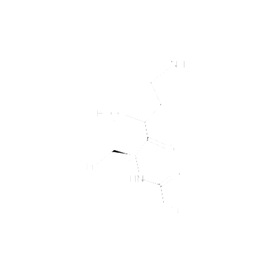 CC(C)C[C@H](NC(=O)C(C)(C)C)C(=O)C(CCN)C(=O)O